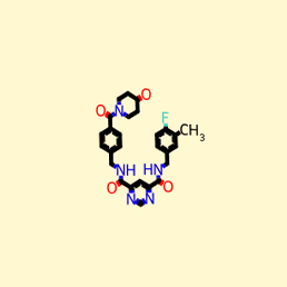 Cc1cc(CNC(=O)c2cc(C(=O)NCc3ccc(C(=O)N4CCC(=O)CC4)cc3)ncn2)ccc1F